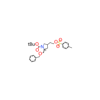 Cc1ccc(S(=O)(=O)OCCC2C[C@@H](COCc3ccccc3)N(C(=O)OC(C)(C)C)C2)cc1